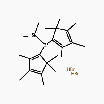 Br.Br.CC1=C(C)C(C)(C)[C]([Zr]([C]2=C(C)C(C)=C(C)C2(C)C)[SiH](C)C)=C1C